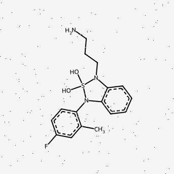 Cc1cc(F)ccc1N1c2ccccc2N(CCCN)S1(O)O